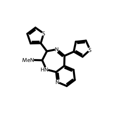 CNC1Nc2ncccc2C(c2ccsc2)=NC1c1cccs1